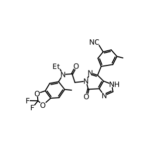 CCN(C(=O)Cn1nc(-c2cc(C)cc(C#N)c2)c2[nH]cnc2c1=O)c1cc2c(cc1C)OC(F)(F)O2